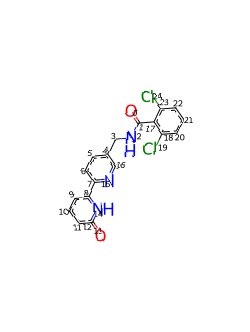 O=C(NCc1ccc(-c2cccc(=O)[nH]2)nc1)c1c(Cl)cccc1Cl